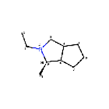 CCN1CC2CCCC2[C@H]1C